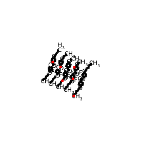 CCCCCCOc1ccc(C(=O)Oc2ccc(OCCCCCC)c(F)c2)cc1.CCCCCCOc1ccc(OC(=O)c2ccc(OCC)cc2)cc1F.CCCCCCOc1ccc(OC(=O)c2ccc(OCCC)cc2)cc1F.CCCCCCOc1ccc(OC(=O)c2ccc(OCCCC)cc2)cc1F.CCCCCCOc1ccc(OC(=O)c2ccc(OCCCCC)cc2)cc1F